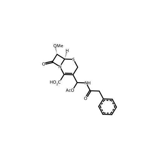 CO[C@H]1C(=O)N2C(C(=O)O)=C(C(NC(=O)Cc3ccccc3)OC(C)=O)CS[C@H]12